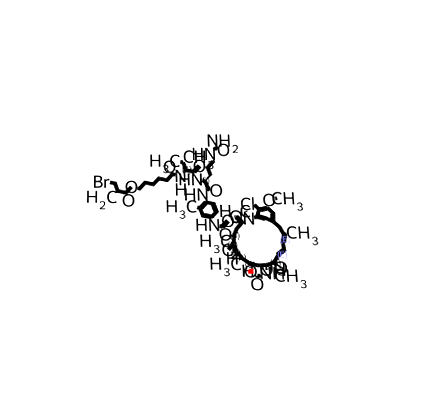 C=C(CBr)C(=O)OCCCCCC(=O)N[C@H](C(=O)N[C@@H](CCCNC(N)=O)C(=O)Nc1ccc(NC(=O)O[C@H]2CC(=O)N(C)c3cc(cc(OC)c3Cl)C/C(C)=C/C=C/[C@@H](OC)[C@@]3(O)C[C@H](OC(=O)N3)[C@@H](C)[C@@H]3O[C@@]23C)cc1C)C(C)C